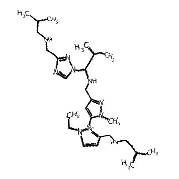 CCn1ccc(CNCC(C)C)[n+]1-c1cc(CNC(C(C)C)n2cnc(CNCC(C)C)n2)nn1C